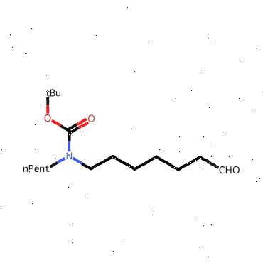 CCCCCN(CCCCCCC=O)C(=O)OC(C)(C)C